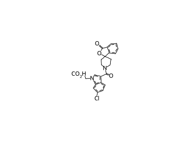 O=C(O)Cn1cc(C(=O)N2CCC3(CC2)OC(=O)c2ccccc23)c2ccc(Cl)cc21